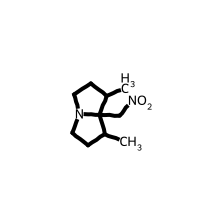 CC1CCN2CCC(C)C12C[N+](=O)[O-]